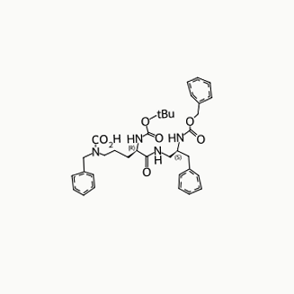 CC(C)(C)OC(=O)N[C@H](CCCN(Cc1ccccc1)C(=O)O)C(=O)NC[C@H](Cc1ccccc1)NC(=O)OCc1ccccc1